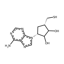 Nc1ncnc2c1ncn2[C@@H]1C[C@H](CS)C(O)C1O